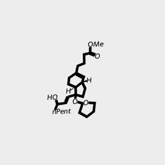 CCCCCC(O)C=CC1(OC2CCCCO2)CC[C@H]2C=C(CCCC(=O)OC)CC[C@@H]21